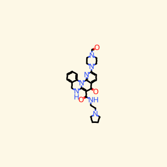 O=CN1CCN(c2ccc3c(=O)c(C(=O)NCCN4CCCC4)c4n(c3n2)-c2ccccc2CN4)CC1